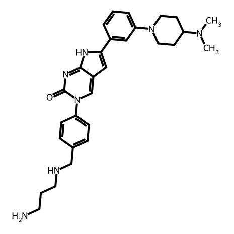 CN(C)C1CCN(c2cccc(-c3cc4cn(-c5ccc(CNCCCN)cc5)c(=O)nc4[nH]3)c2)CC1